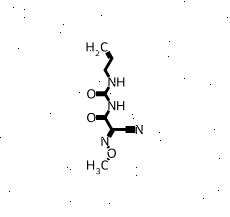 C=CCNC(=O)NC(=O)/C(C#N)=N/OC